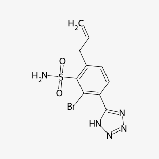 C=CCc1ccc(-c2nnn[nH]2)c(Br)c1S(N)(=O)=O